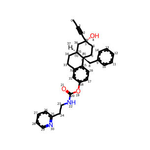 CC#C[C@@]1(O)CC[C@]2(Cc3ccccc3)c3ccc(OC(=O)NCCc4ccccn4)cc3CC[C@H]2C1